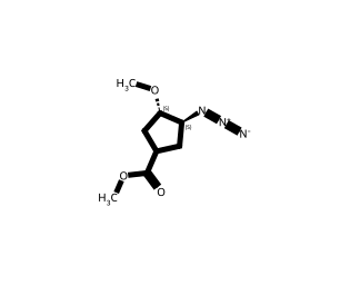 COC(=O)C1C[C@H](N=[N+]=[N-])[C@@H](OC)C1